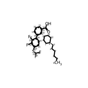 CCCCCC[C@H]1CC[C@H](c2c(C(=O)O)cccc2-c2ccc(SC(F)F)c(F)c2F)CC1